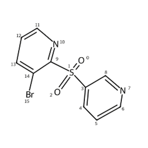 O=S(=O)(c1cccnc1)c1ncccc1Br